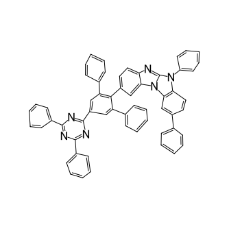 c1ccc(-c2ccc3c(c2)n2c4cc(-c5c(-c6ccccc6)cc(-c6nc(-c7ccccc7)nc(-c7ccccc7)n6)cc5-c5ccccc5)ccc4nc2n3-c2ccccc2)cc1